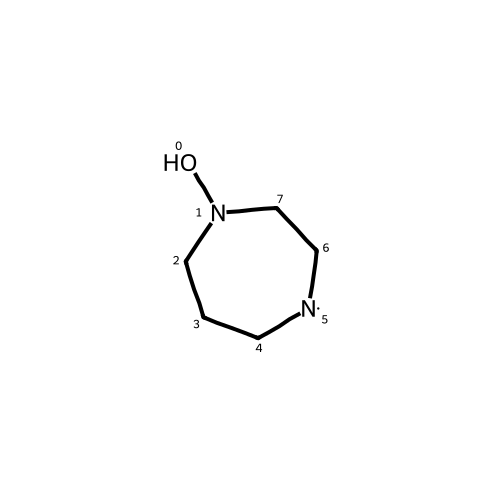 ON1CCC[N]CC1